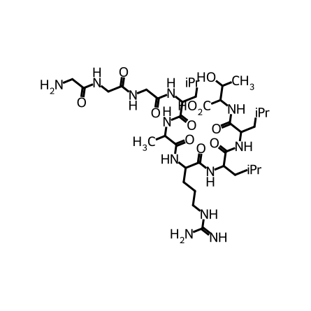 CC(C)CC(NC(=O)CNC(=O)CNC(=O)CN)C(=O)NC(C)C(=O)NC(CCCNC(=N)N)C(=O)NC(CC(C)C)C(=O)NC(CC(C)C)C(=O)NC(C(=O)O)C(C)O